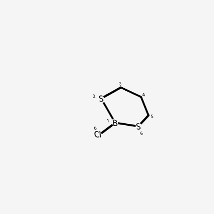 ClB1SCCCS1